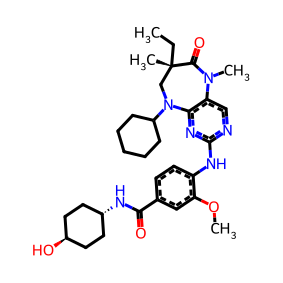 CC[C@@]1(C)CN(C2CCCCC2)c2nc(Nc3ccc(C(=O)N[C@H]4CC[C@H](O)CC4)cc3OC)ncc2N(C)C1=O